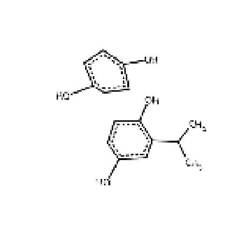 CC(C)c1cc(O)ccc1O.Oc1ccc(O)cc1